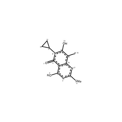 CSc1nc(O)c2c(=O)n(C3CC3)c(O)c(F)c2n1